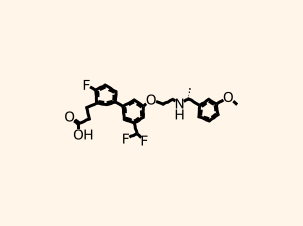 COc1cccc([C@@H](C)NCCOc2cc(-c3ccc(F)c(CCC(=O)O)c3)cc(C(F)F)c2)c1